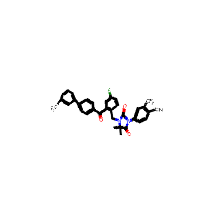 CC1(C)C(=O)N(c2ccc(C#N)c(C(F)(F)F)c2)C(=O)N1Cc1ccc(F)cc1C(=O)c1ccc(-c2cccc(C(F)(F)F)c2)cc1